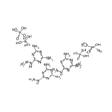 NNc1nc(N)nc(N)n1.NNc1nc(N)nc(N)n1.NNc1nc(N)nc(N)n1.O=P(O)(O)O.O=P(O)(O)O.O=P(O)(O)O.OB(O)O